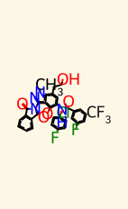 Cn1nc(N2C(=O)c3ccccc3C2=O)c2c(Oc3cc(F)ccc3Cl)c(NC(=O)c3cc(F)cc(C(F)(F)F)c3)cc(CCO)c21